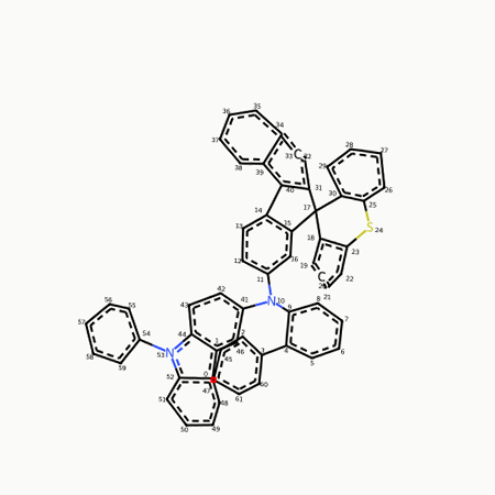 c1ccc(-c2ccccc2N(c2ccc3c(c2)C2(c4ccccc4Sc4ccccc42)c2ccc4ccccc4c2-3)c2ccc3c(c2)c2ccccc2n3-c2ccccc2)cc1